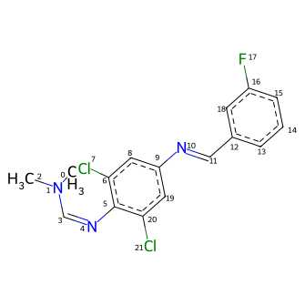 CN(C)/C=N\c1c(Cl)cc(/N=C/c2cccc(F)c2)cc1Cl